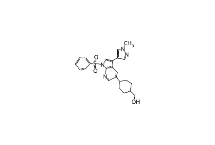 Cn1cc(-c2cn(S(=O)(=O)c3ccccc3)c3ncc(C4CCC(CO)CC4)cc23)cn1